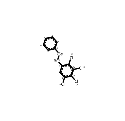 Clc1cc([Se][Se]c2ccccc2)c(Cl)c(Cl)c1Cl